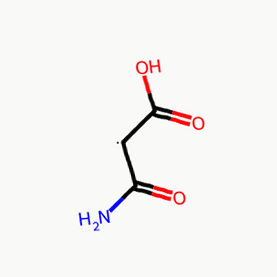 NC(=O)[CH]C(=O)O